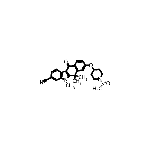 Cn1c2c(c3ccc(C#N)cc31)C(=O)c1ccc(OC3CCN([S+](C)[O-])CC3)cc1C2(C)C